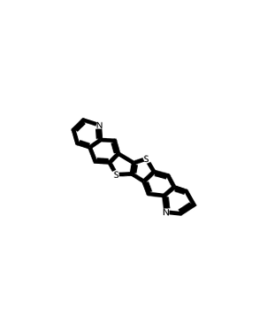 c1cnc2cc3c(cc2c1)sc1c2cc4ncccc4cc2sc31